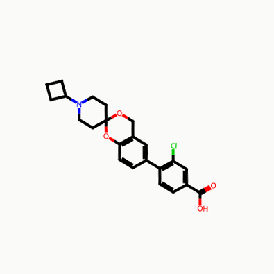 O=C(O)c1ccc(-c2ccc3c(c2)COC2(CCN(C4CCC4)CC2)O3)c(Cl)c1